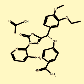 CC(=O)O.CCOc1cc([C@H](Nc2ccc(C(=N)N)cc2)c2nn(-c3ncccc3N)c(=O)[nH]2)ccc1OC